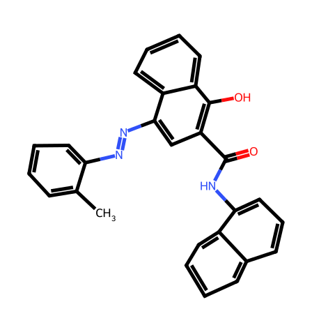 Cc1ccccc1N=Nc1cc(C(=O)Nc2cccc3ccccc23)c(O)c2ccccc12